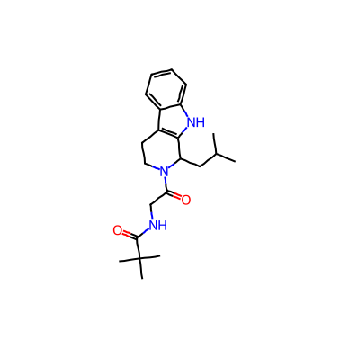 CC(C)CC1c2[nH]c3ccccc3c2CCN1C(=O)CNC(=O)C(C)(C)C